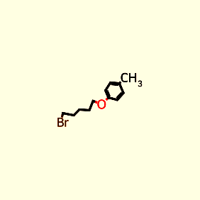 Cc1ccc(OCCCCCBr)cc1